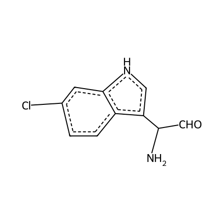 NC(C=O)c1c[nH]c2cc(Cl)ccc12